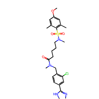 COc1cc(C)c(S(=O)(=O)N(C)CCCCC(=O)N(C)Cc2ccc(C3=NCCN3)cc2Cl)c(C)c1